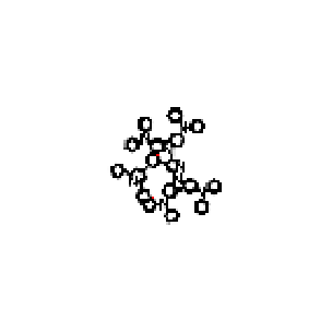 c1ccc(-c2cc(-c3cccc(-c4cc(-n5c6ccc(N(c7ccccc7)c7ccccc7)cc6c6cc(N(c7ccccc7)c7ccccc7)ccc65)ncc4-n4c5ccc(N(c6ccccc6)c6ccccc6)cc5c5cc(N(c6ccccc6)c6ccccc6)ccc54)c3)cc(-c3ccccc3)n2)cc1